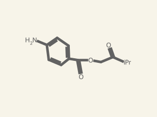 CC(C)C(=O)COC(=O)c1ccc(N)cc1